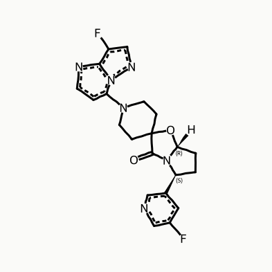 O=C1N2[C@@H](CC[C@H]2c2cncc(F)c2)OC12CCN(c1ccnc3c(F)cnn13)CC2